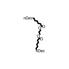 CCCCCCCCCCCCCCCC(=O)OCCCOC(=O)CCCCCCCCCCCCCCC